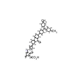 Cc1ccc(N(c2ccc(C)cc2)c2ccc(-c3ccc4c(c3)C(=O)c3cc(-c5ccc(/C=C6/SC(=S)N(CC(=O)O)C6=O)s5)ccc3-4)cc2)cc1